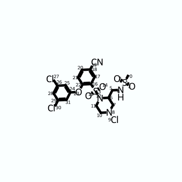 CS(=O)(=O)NCC1CN(Cl)CCN1S(=O)(=O)c1cc(C#N)ccc1Oc1cc(Cl)cc(Cl)c1